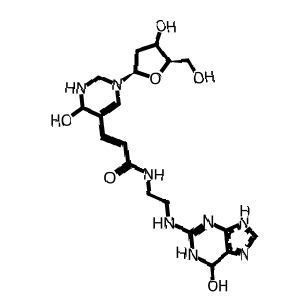 O=C(/C=C/C1=CN([C@H]2CC(O)[C@@H](CO)O2)CNC1O)NCCNC1=Nc2[nH]cnc2C(O)N1